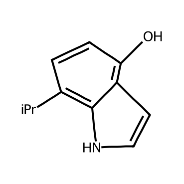 CC(C)c1ccc(O)c2cc[nH]c12